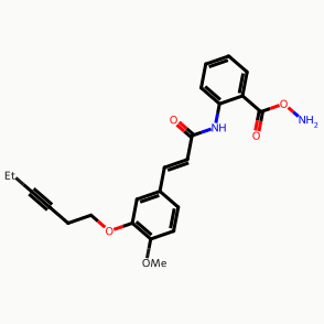 CCC#CCCOc1cc(/C=C/C(=O)Nc2ccccc2C(=O)ON)ccc1OC